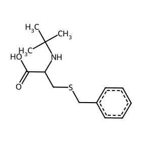 CC(C)(C)NC(CSCc1ccccc1)C(=O)O